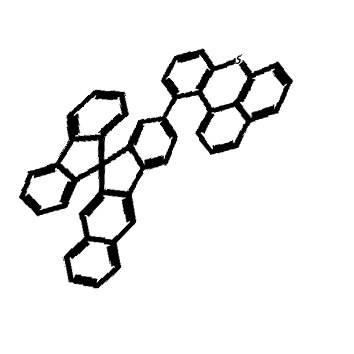 c1ccc2c(c1)-c1ccccc1C21c2cc(-c3cccc4c3-c3cccc5cccc(c35)S4)ccc2-c2cc3ccccc3cc21